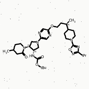 CC1CCN([C@H]2CN(c3cnc(OCC[C@@H](C)C4CCN(c5nc(C(C)C)no5)CC4)cn3)C[C@@H]2NC(=O)OC(C)(C)C)C(=O)C1